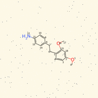 COc1ccc(CCc2ccc(N)cc2)c(OC)c1